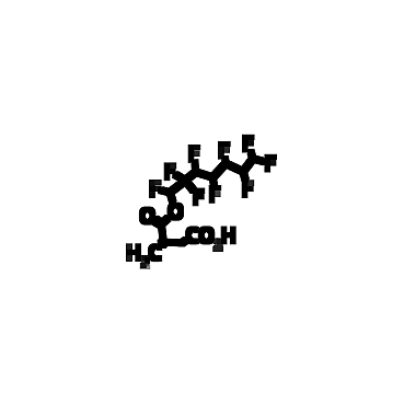 C=C(CC(=O)O)C(=O)OC(F)C(F)(F)C(F)C(F)C(F)C(F)C(F)F